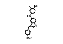 [C-]#[N+]c1ncc(Nc2cc3c(cn2)ncn3Cc2ccc(OC)cc2)nc1C